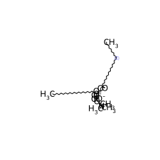 CCCCCCCC/C=C\CCCCCCCCCCCCCC(=O)OC[C@H](COP(=O)([O-])OCC[N+](C)(C)C)OC(=O)CCCCCCCCCCCCCCCCCCC